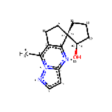 Cc1c2c(nc3ccnn13)[C@]1(CCC[C@H]1O)CC2